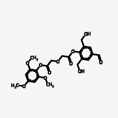 COc1cc(OC)c(OC(=O)COCC(=O)Oc2c(CO)cc(C=O)cc2CO)c(OC)c1